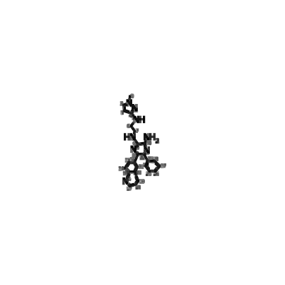 Cn1ccc(NCCNc2nc(-c3ccc4ncccc4c3)c(-c3ccccc3)nc2N)n1